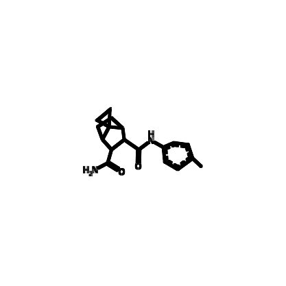 Cc1ccc(NC(=O)C2C(C(N)=O)C3CCC2C32CC2)cc1